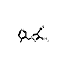 Cc1ccncc1Cn1cc(C#N)c(N)n1